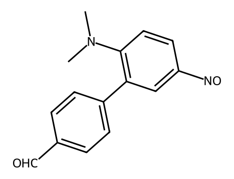 CN(C)c1ccc(N=O)cc1-c1ccc(C=O)cc1